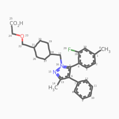 Cc1ccc(-c2c(-c3ccccc3)c(C)nn2CC2CCC(COCC(=O)O)CC2)c(F)c1